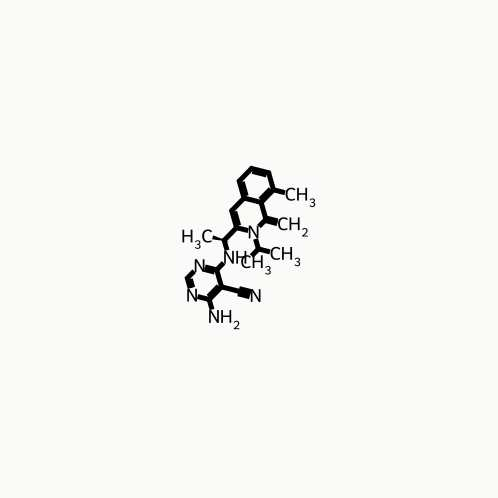 C=C1c2c(C)cccc2C=C([C@H](C)Nc2ncnc(N)c2C#N)N1C(C)C